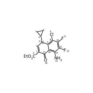 CCOC(=O)c1cn(C2CC2)c2c(Cl)c(F)c(F)c(N)c2c1=O